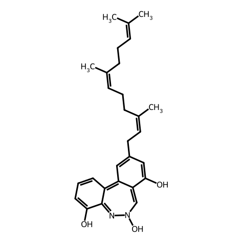 CC(C)=CCCC(C)=CCCC(C)=CCc1cc(O)c2c(c1)=c1cccc(O)c1=NN(O)C=2